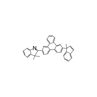 CC1(C)C(c2ccc3c4ccc(C5(C)C=Cc6ccccc65)cc4c4ccccc4c3c2)=Nc2ccccc21